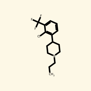 CCCN1CCC(c2cccc(C(F)(F)F)c2Cl)CC1